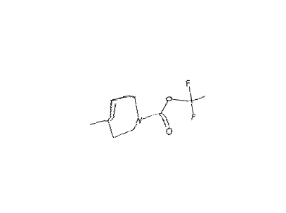 CC1=CCN(C(=O)OC(C)(F)F)CC1